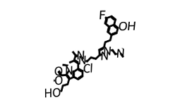 CCn1c(C(=O)OC)c(CCCO)c2ccc(Cl)c(-c3c(C)c(C)nn3CCCc3cc(CCc4cc(O)c5ccc(F)cc5c4)n(CCN(C)C)n3)c21